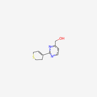 OCc1ccnc(C2=CCSCC2)n1